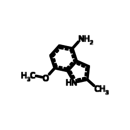 COc1ccc(N)c2cc(C)[nH]c12